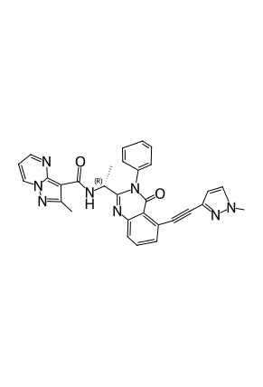 Cc1nn2cccnc2c1C(=O)N[C@H](C)c1nc2cccc(C#Cc3ccn(C)n3)c2c(=O)n1-c1ccccc1